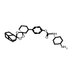 N[C@H]1CC[C@H](NC(=O)Oc2ccc(C3CCC[C@]4(C3)OOC3(O4)C4CC5CC(C4)CC3C5)cc2)CC1